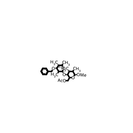 CO[C@H]1OC(COC(C)=O)[C@@H](O[C@@H]2OC(C)[C@@H](C)[C@@H](OCc3ccccc3)C2C)[C@H](C)C1C